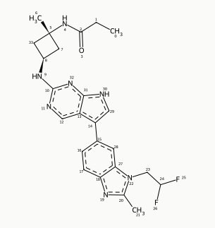 CCC(=O)N[C@]1(C)C[C@@H](Nc2ncc3c(-c4ccc5nc(C)n(CC(F)F)c5c4)c[nH]c3n2)C1